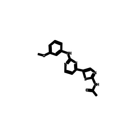 COc1cccc(Nc2nccc(-c3cnc(NC(C)=O)s3)n2)c1